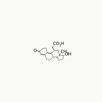 CC12C[C@H](CC(=O)O)C3=C4CCC(=O)C=C4CCC3C1CCC2O